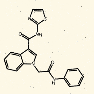 O=C(Cn1cc(C(=O)Nc2nccs2)c2ccccc21)Nc1ccccc1